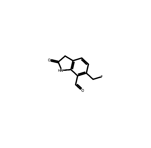 O=Cc1c(CF)ccc2c1NC(=O)C2